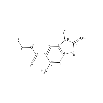 CCOC(=O)c1cc2c(cc1N)oc(=O)n2C